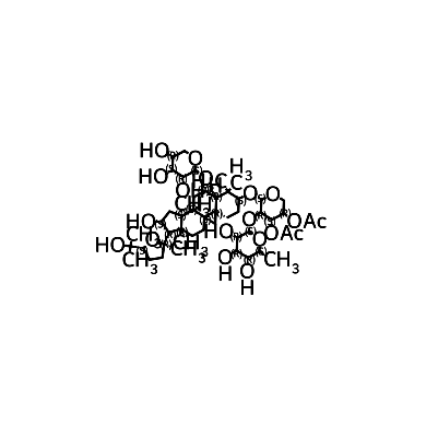 CC(=O)O[C@@H]1[C@@H](O[C@@H]2O[C@@H](C)[C@H](O)[C@@H](O)[C@H]2O)[C@H](O[C@H]2CC[C@]34C[C@]35CC[C@]3(C)[C@@H]([C@@]6(C)CC[C@@H](C(C)(C)O)O6)[C@@H](O)C[C@@]3(C)[C@@H]5C[C@H](O[C@@H]3OC[C@@H](O)[C@H](O)[C@H]3O)[C@H]4C2(C)C)OC[C@H]1OC(C)=O